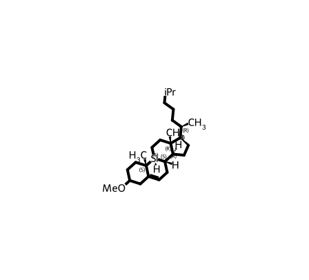 COC1CC[C@@]2(C)C(=CC[C@H]3[C@@H]4CC[C@H]([C@H](C)CCCC(C)C)[C@@]4(C)CC[Si@@H]32)C1